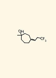 CC1(O)CCC/C(=C/CC(F)(F)F)CC1